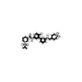 CC(C)S(=O)(=O)N1CCC[C@H](C(=O)Nc2cc(-c3cccc(NCC4CCS(=O)(=O)CC4)n3)c(Cl)cn2)C1